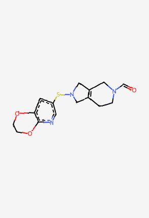 O=CN1CCC2=C(C1)CN(Sc1cnc3c(c1)OCCO3)C2